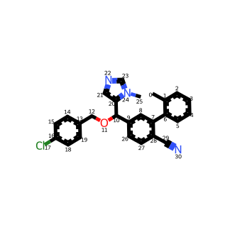 Cc1ccccc1-c1cc(C(OCc2ccc(Cl)cc2)c2cncn2C)ccc1C#N